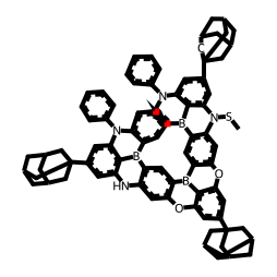 CSN1c2cc3c(cc2B2c4ccccc4N(c4ccccc4)c4cc(C56CC7CC(CC(C7)C5)C6)cc1c42)B1c2cc4c(cc2Oc2cc(C56CC7CC(CC(C7)C5)C6)cc(c21)O3)Nc1cc(C23CC5CC(CC(C5)C2)C3)cc2c1B4c1ccccc1N2c1ccccc1